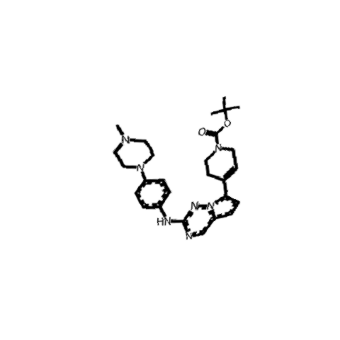 CN1CCN(c2ccc(Nc3ncc4ccc(C5=CCN(C(=O)OC(C)(C)C)CC5)n4n3)cc2)CC1